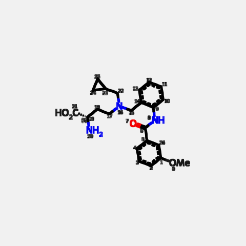 COc1cccc(C(=O)Nc2ccccc2CN(CC[C@H](N)C(=O)O)CC2CC2)c1